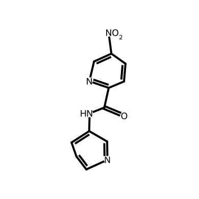 O=C(Nc1cccnc1)c1ccc([N+](=O)[O-])cn1